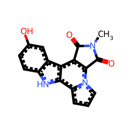 CN1C(=O)c2c(n3cccc3c3[nH]c4ccc(O)cc4c23)C1=O